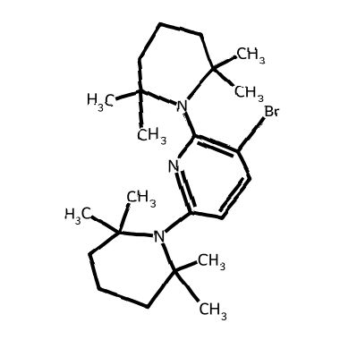 CC1(C)CCCC(C)(C)N1c1ccc(Br)c(N2C(C)(C)CCCC2(C)C)n1